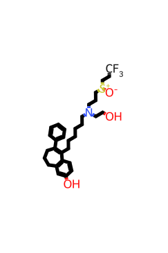 [O-][S+](CCCN(CCO)CCCCCCC1=C(c2ccccc2)CCCc2cc(O)ccc21)CCC(F)(F)F